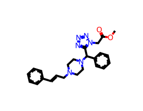 COC(=O)Cn1nnnc1C(c1ccccc1)N1CCN(CC=Cc2ccccc2)CC1